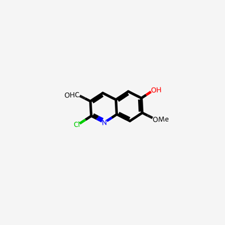 COc1cc2nc(Cl)c(C=O)cc2cc1O